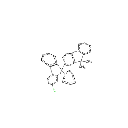 CC1(C)c2ccccc2-c2ccc(C3(c4ccccc4)c4ccccc4-c4ccc(Cl)cc43)cc21